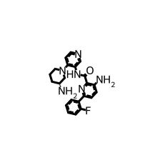 Nc1ccc(-c2ccccc2F)nc1C(=O)Nc1cnccc1N1CCC[C@@H](N)C1